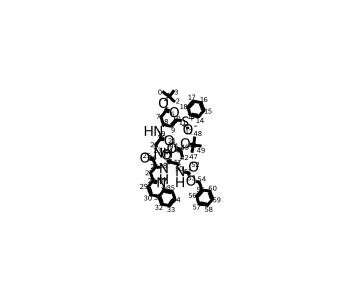 CC(C)(C)OC(=O)CC(/C=C/[S+]([O-])c1ccccc1)NC(=O)CNC(=O)C(Cc1ccc2ccccc2n1)NC(=O)[C@H](CC(=O)OC(C)(C)C)NC(=O)OCc1ccccc1